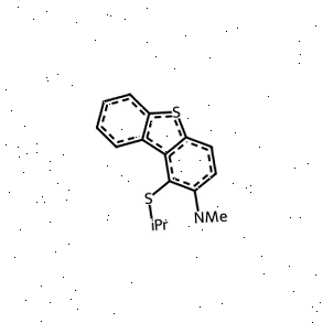 CNc1ccc2sc3ccccc3c2c1SC(C)C